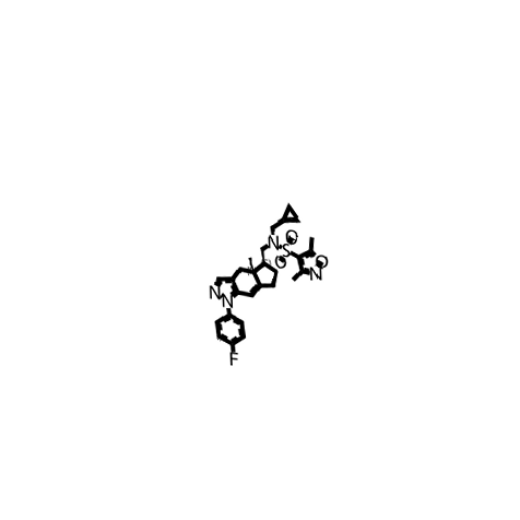 Cc1noc(C)c1S(=O)(=O)N(CC1CC1)C[C@H]1CCC2=Cc3c(cnn3-c3ccc(F)cc3)C[C@@]21C